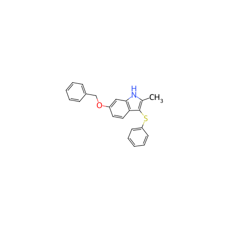 Cc1[nH]c2cc(OCc3ccccc3)ccc2c1Sc1ccccc1